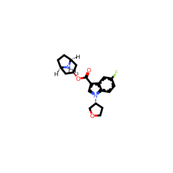 CN1[C@@H]2CC[C@H]1C[C@@H](OC(=O)c1cn([C@@H]3CCOC3)c3ccc(F)cc13)C2